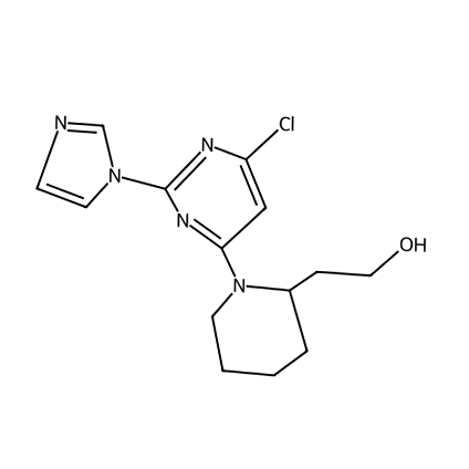 OCCC1CCCCN1c1cc(Cl)nc(-n2ccnc2)n1